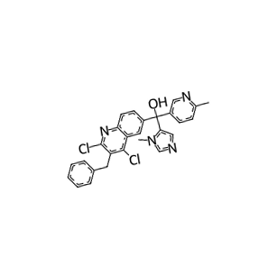 Cc1ccc(C(O)(c2ccc3nc(Cl)c(Cc4ccccc4)c(Cl)c3c2)c2cncn2C)cn1